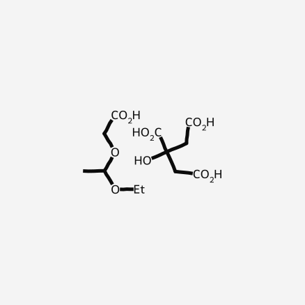 CCOC(C)OCC(=O)O.O=C(O)CC(O)(CC(=O)O)C(=O)O